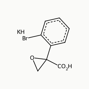 O=C(O)C1(c2ccccc2Br)CO1.[KH]